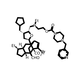 CC[C@@H]1CC[C@@H]2[C@@H]1CC1([C@H]3C[C@H](CC4CCCC4)[C@H](CN(CC)CCOC(=O)N4CCN(Cc5cccnc5)CC4)O3)C3C=C(C(C)C)[C@]1(C(=O)O)C2(C=O)C3